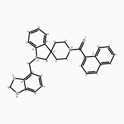 O=C(c1cccc2ccccc12)N1CCC2(CC1)CN(Cc1cccc3c1OCO3)c1ccccc12